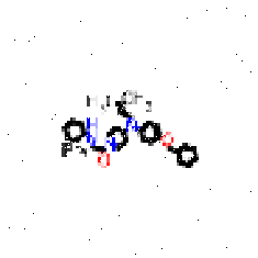 CC(C)=CCN(c1ccc(OCc2ccccc2)cc1)C1CCN(C(=O)[C@H](CC(C)C)NC2CCCCC2)CC1